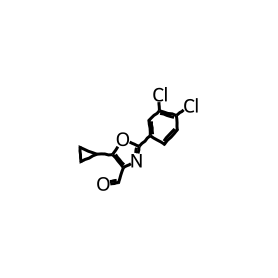 O=Cc1nc(-c2ccc(Cl)c(Cl)c2)oc1C1CC1